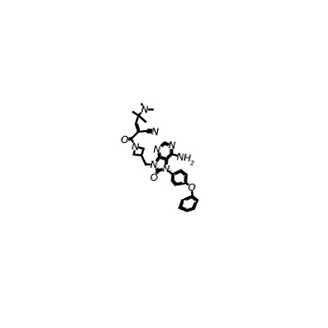 CN(C)C(C)(C)C=C(C#N)C(=O)N1CC(Cn2c(=O)n(-c3ccc(Oc4ccccc4)cc3)c3c(N)ncnc32)C1